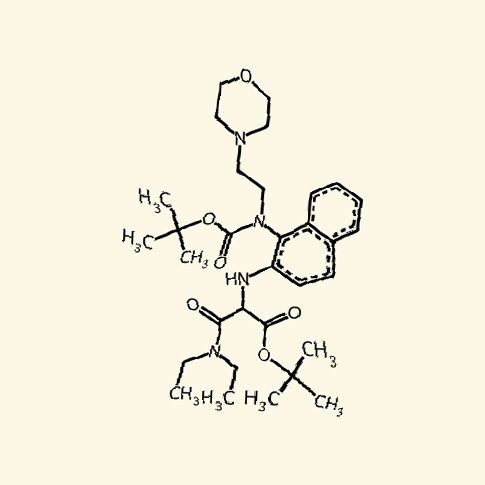 CCN(CC)C(=O)C(Nc1ccc2ccccc2c1N(CCN1CCOCC1)C(=O)OC(C)(C)C)C(=O)OC(C)(C)C